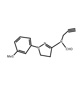 C#CCN(C=O)C1=NN(c2cccc(SC)c2)CC1